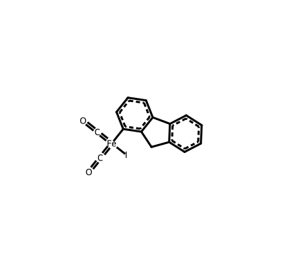 O=[C]=[Fe]([I])(=[C]=O)[c]1cccc2c1Cc1ccccc1-2